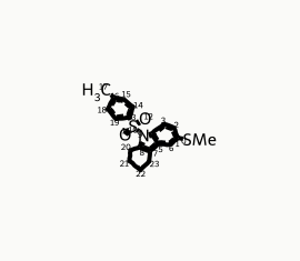 CSc1ccc2c(c1)c1c(n2S(=O)(=O)c2ccc(C)cc2)CC[C]C1